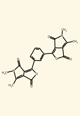 CC1=C2C(=O)OC(c3cccc(C4=C5C(=O)N(C)C(C)=C5C(=O)O4)c3)=C2C(=O)N1C